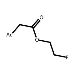 CC(=O)CC(=O)OCCF